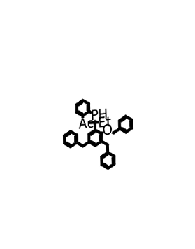 CCC(C)(Pc1ccccc1C(C)=O)c1cc(Cc2ccccc2)cc(Cc2ccccc2)c1OCc1ccccc1